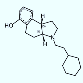 Oc1cccc2c1CC[C@@H]1[C@H]2CCN1CCC1CCCCC1